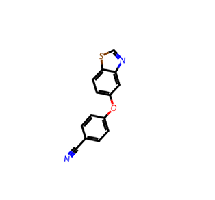 N#Cc1ccc(Oc2ccc3scnc3c2)cc1